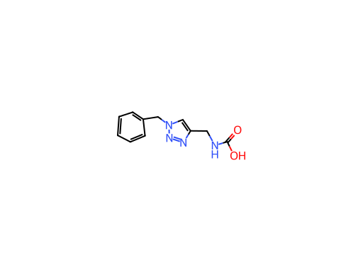 O=C(O)NCc1cn(Cc2ccccc2)nn1